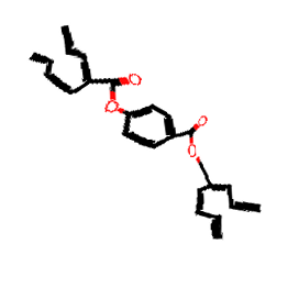 C=C/C=C\C(=C/C=C)COC(=O)c1ccc(OC(=O)C(/C=C\C=C)=C/C=C)cc1